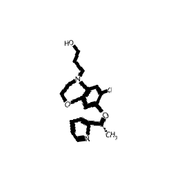 C[C@@H](Oc1cc2c(cc1Cl)N(CCCO)CCO2)c1ccccn1